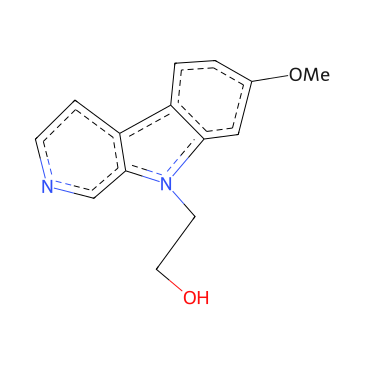 COc1ccc2c3ccncc3n(CCO)c2c1